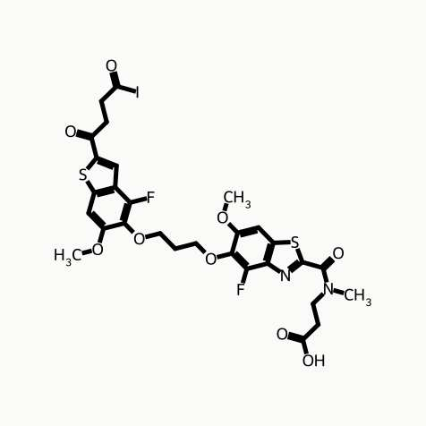 COc1cc2sc(C(=O)CCC(=O)I)cc2c(F)c1OCCCOc1c(OC)cc2sc(C(=O)N(C)CCC(=O)O)nc2c1F